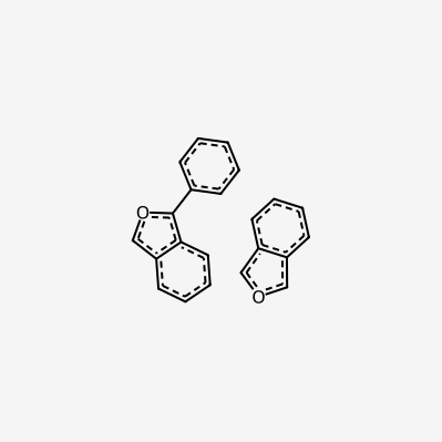 c1ccc(-c2occ3ccccc23)cc1.c1ccc2cocc2c1